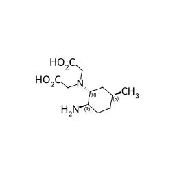 C[C@H]1CC[C@@H](N)[C@H](N(CC(=O)O)CC(=O)O)C1